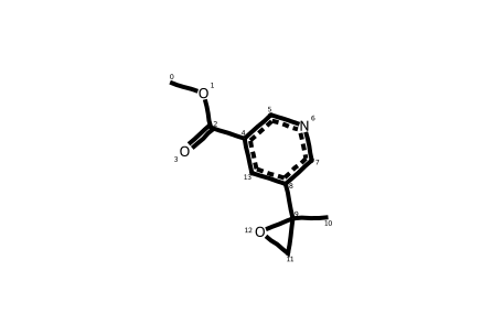 COC(=O)c1cncc(C2(C)CO2)c1